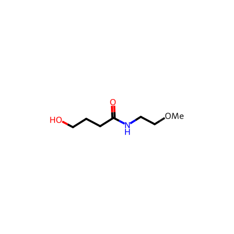 COCCNC(=O)CCCO